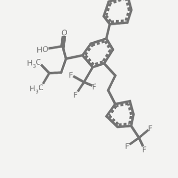 CC(C)CC(C(=O)O)c1cc(-c2ccccc2)cc(CCc2ccc(C(F)(F)F)cc2)c1C(F)(F)F